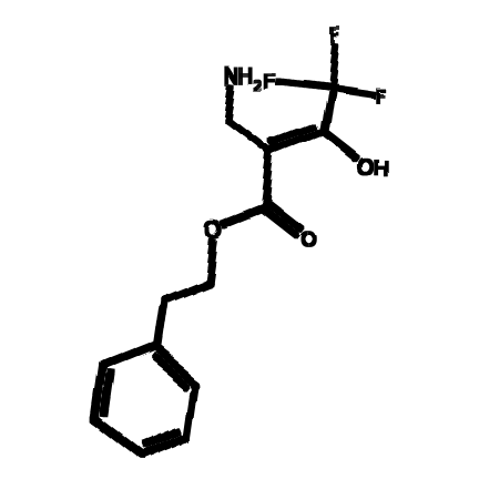 NC/C(C(=O)OCCc1ccccc1)=C(/O)C(F)(F)F